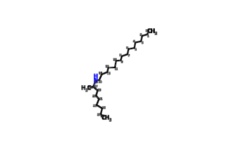 CCCCCCCCCCCCCCCCNC(C)CCCCCCC